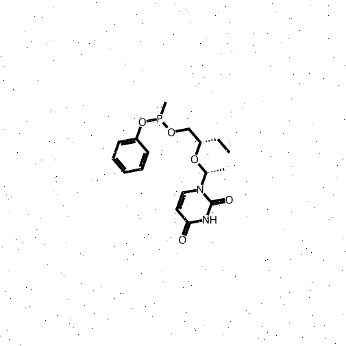 CC[C@@H](COP(C)Oc1ccccc1)O[C@H](C)n1ccc(=O)[nH]c1=O